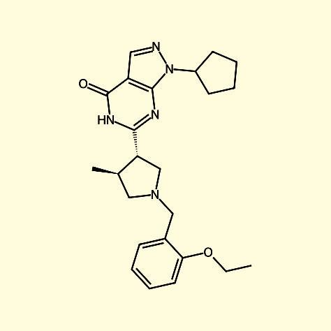 CCOc1ccccc1CN1C[C@@H](C)[C@H](c2nc3c(cnn3C3CCCC3)c(=O)[nH]2)C1